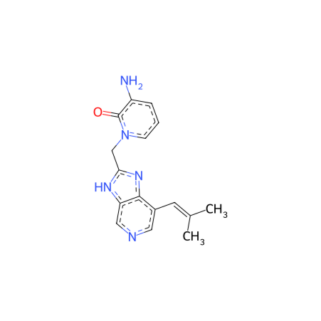 CC(C)=Cc1cncc2[nH]c(Cn3cccc(N)c3=O)nc12